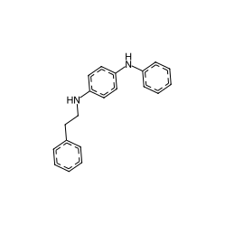 c1ccc(CCNc2ccc(Nc3ccccc3)cc2)cc1